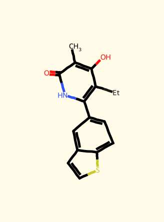 CCc1c(-c2ccc3sccc3c2)[nH]c(=O)c(C)c1O